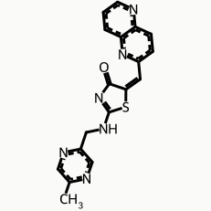 Cc1cnc(CNC2=NC(=O)C(=Cc3ccc4ncccc4n3)S2)cn1